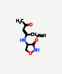 CC(=O)/C=C(\C)NC1CONC1=O.[NaH]